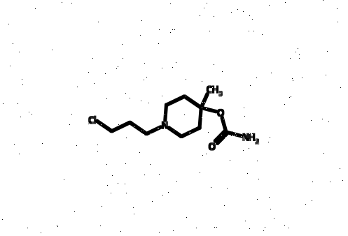 CC1(OC(N)=O)CCN(CCCCl)CC1